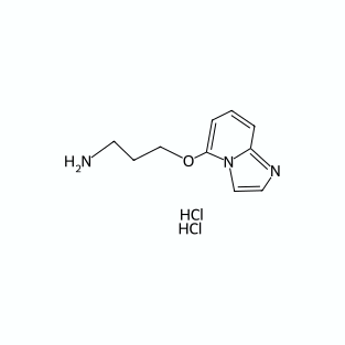 Cl.Cl.NCCCOc1cccc2nccn12